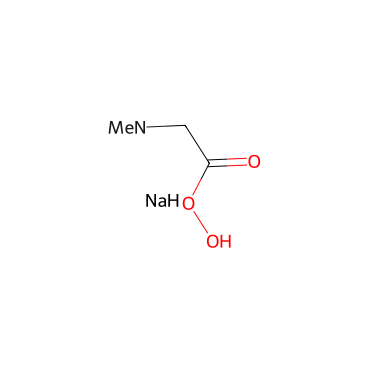 CNCC(=O)OO.[NaH]